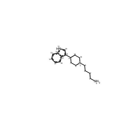 NCCCCN1CCC(c2c[nH]c3ccccc23)CC1